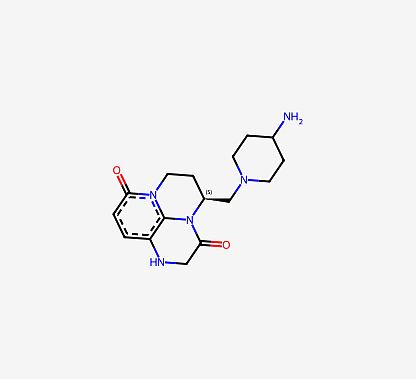 NC1CCN(C[C@@H]2CCn3c4c(ccc3=O)NCC(=O)N42)CC1